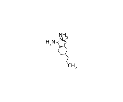 C=CCC1CCC2=C(C1)SN(N)C2N